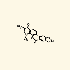 O=C(O)c1cn(C2CC2)c2c(OC(F)F)c(-c3ccc4c(c3)CNC4)ccc2c1=O